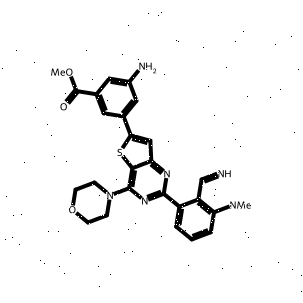 CNc1cccc(-c2nc(N3CCOCC3)c3sc(-c4cc(N)cc(C(=O)OC)c4)cc3n2)c1C=N